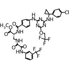 COC(=O)[C@H](CNC(=O)C(=O)Nc1cccc(C(F)(F)F)c1)NC(=O)c1ccc(Nc2nc(NC3(c4ccc(Cl)cc4)CC3)nc(OCC(F)(F)F)n2)cc1